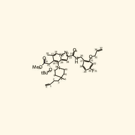 C=CCCC1(C)CCN(c2c([C@H](OC(C)(C)C)C(=O)OC)c(C)cn3nc(C(=O)NCc4ccc(F)cc4OCC=C)cc23)CC1